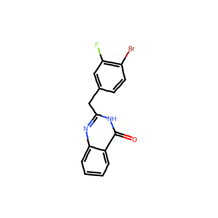 O=c1[nH]c(Cc2ccc(Br)c(F)c2)nc2ccccc12